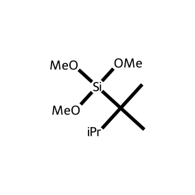 CO[Si](OC)(OC)C(C)(C)C(C)C